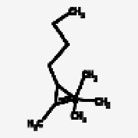 CCCCC1C(C)=S1(C)(C)C